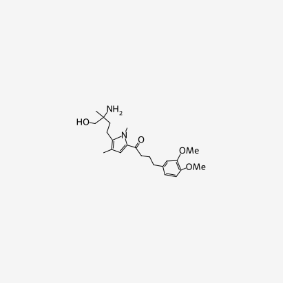 COc1ccc(CCCC(=O)c2cc(C)c(CCC(C)(N)CO)n2C)cc1OC